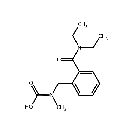 CCN(CC)C(=O)c1ccccc1CN(C)C(=O)O